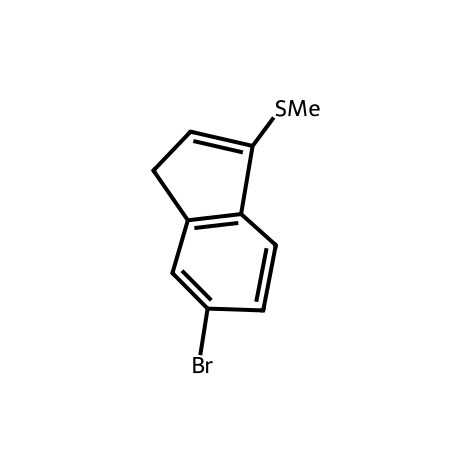 CSC1=CCc2cc(Br)ccc21